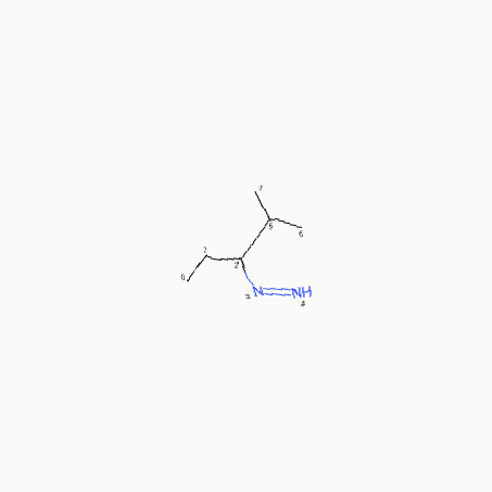 CCC(N=N)C(C)C